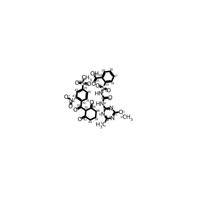 COc1nc(C)nc(NC(=O)NS(=O)(=O)c2ccccc2C(=O)O)n1.CS(=O)(=O)c1ccc(C(=O)C2C(=O)CCCC2=O)c([N+](=O)[O-])c1